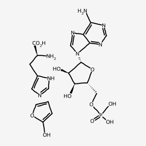 N[C@@H](Cc1cnc[nH]1)C(=O)O.Nc1ncnc2c1ncn2[C@@H]1O[C@H](COP(=O)(O)O)[C@@H](O)[C@H]1O.Oc1ccco1